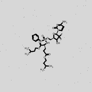 CC(C)CCOC(=O)CC[C@H](NP(=O)(OC[C@H]1O[C@@H](n2ccc(N)nc2=O)C(F)(F)C1O)Oc1ccccc1)C(=O)OCCC(C)C